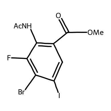 COC(=O)c1cc(I)c(Br)c(F)c1NC(C)=O